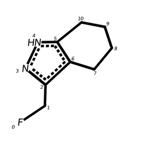 FCc1n[nH]c2c1CCCC2